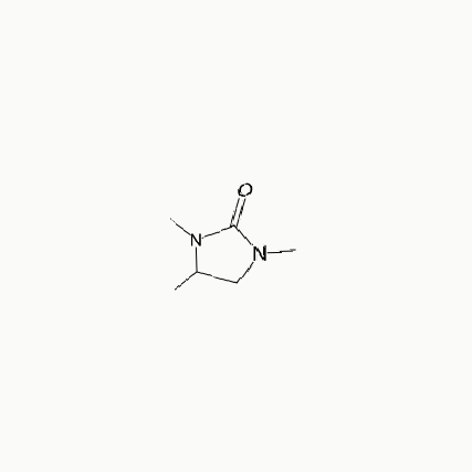 CC1CN(C)C(=O)N1C